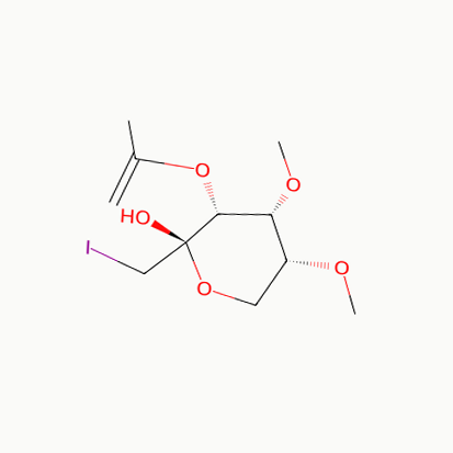 C=C(C)O[C@@H]1[C@H](OC)[C@H](OC)CO[C@]1(O)CI